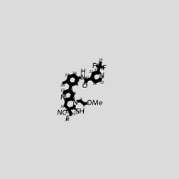 COCCN1c2cc(-c3cc(NC(=O)c4ccnc(C(C)(F)F)c4)ccc3C)cnc2C[C@](C#N)(CF)[C@@H]1S